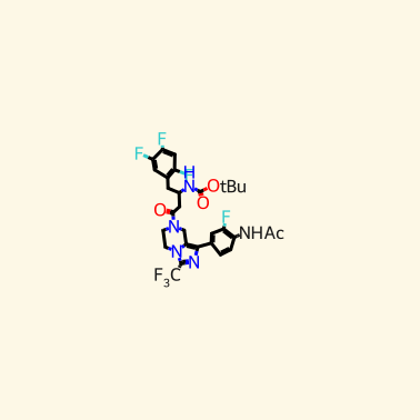 CC(=O)Nc1ccc(-c2nc(C(F)(F)F)n3c2CN(C(=O)CC(Cc2cc(F)c(F)cc2F)NC(=O)OC(C)(C)C)CC3)cc1F